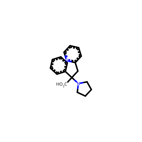 O=C(O)C(Cc1ccccn1)(c1ccccc1)N1CCCC1